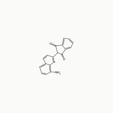 Nc1cccc2ccc(C3C(=O)c4ccccc4C3=O)nc12